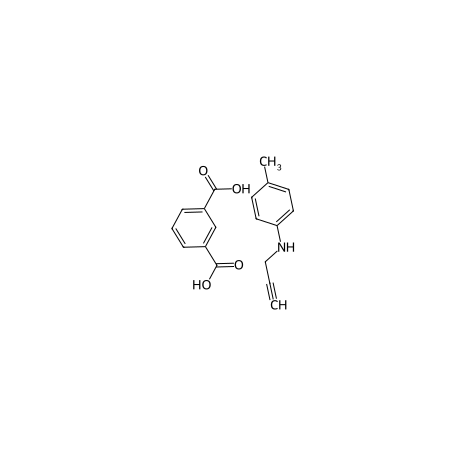 C#CCNc1ccc(C)cc1.O=C(O)c1cccc(C(=O)O)c1